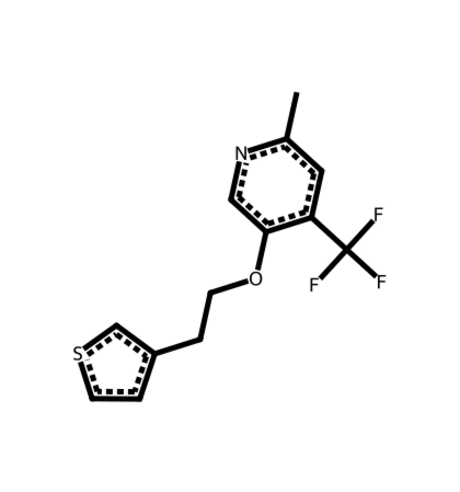 Cc1cc(C(F)(F)F)c(OCCc2ccsc2)cn1